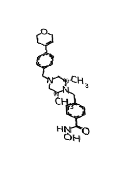 C[C@@H]1CN(Cc2ccc(C3=CCOCC3)cc2)C[C@H](C)N1Cc1ccc(C(=O)NO)cc1